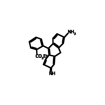 CCOC(=O)c1ccccc1C1=C2C=CC(=N)C=C2Cc2cc(N)ccc21